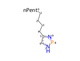 CCCCCCCCCc1c[nH]pn1